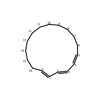 [C]1=C/C=C/C=C\CCCCCCCCCCC/1